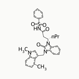 CCC[C@@H](CC(=O)NS(=O)(=O)c1ccccc1)n1c(=O)n(Cc2cn(C)c3cccc(C)c23)c2ccccc21